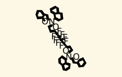 FC(F)(c1ccc(N(c2cc3ccccc3o2)c2cccc3ccccc23)o1)C(F)(F)C(F)(F)C(F)(F)c1ccc(N(c2cc3ccccc3o2)c2cccc3ccccc23)o1